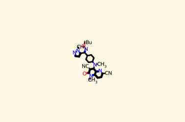 CN(c1c(C#N)c(=O)n(C)c2ccc(C#N)nc12)C1CCC(/C(=N/OC(C)(C)C)c2ccnn2C)CC1